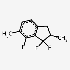 Cc1ccc2c(c1F)C(F)(F)[C@H](C)C2